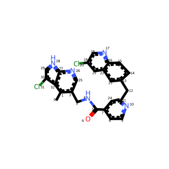 Cc1c(CNC(=O)c2ccnc(Cc3ccc4ncc(Cl)cc4c3)c2)cnc2[nH]cc(Cl)c12